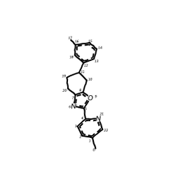 Cc1ccc(-c2nc3c(o2)CC(c2cccc(C)c2)CC3)nc1